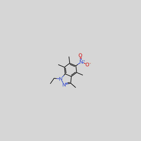 CCn1nc(C)c2c(C)c([N+](=O)[O-])c(C)c(C)c21